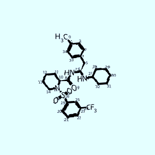 Cc1ccc(C[C@H](NC(=O)[C@@H]2CCCCN2S(=O)(=O)c2cccc(C(F)(F)F)c2)NC2CCCCC2)cc1